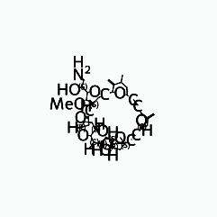 C=C1C[C@@H]2CC[C@@]34C[C@H]5O[C@@H]6C(O[C@H]7CC[C@H](CC(=O)C[C@H]8C(CC9OC(CCC1O2)CC(C)C9=C)OC([C@@H](O)CN)C8OC)OC7[C@@H]6O3)[C@H]5O4